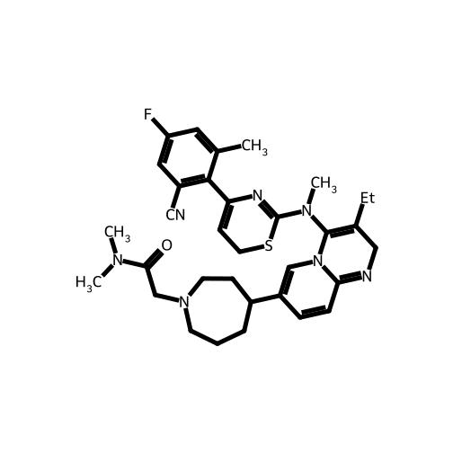 CCC1=C(N(C)C2=NC(c3c(C)cc(F)cc3C#N)=CCS2)N2C=C(C3CCCN(CC(=O)N(C)C)CC3)C=CC2=NC1